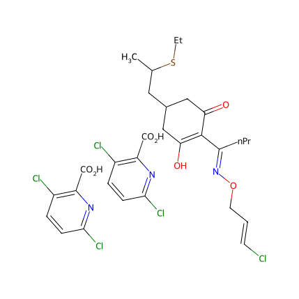 CCC/C(=N\OC/C=C/Cl)C1=C(O)CC(CC(C)SCC)CC1=O.O=C(O)c1nc(Cl)ccc1Cl.O=C(O)c1nc(Cl)ccc1Cl